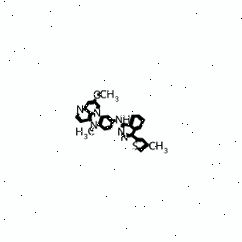 COc1cnc2c(N(C)c3ccc(Nc4nnc(-c5cc(C)cs5)c5ccccc45)cc3)ccnc2c1